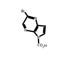 O=C(O)n1ccc2nc(Br)cnc21